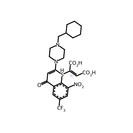 O=C(O)/C=C(\C(=O)O)[SH]1C(N2CCN(CC3CCCCC3)CC2)=CC(=O)c2cc(C(F)(F)F)cc([N+](=O)[O-])c21